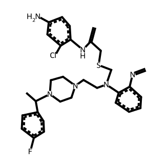 C=Nc1ccccc1N(CCN1CCN(C(C)c2ccc(F)cc2)CC1)CSCC(=C)Nc1ccc(N)cc1Cl